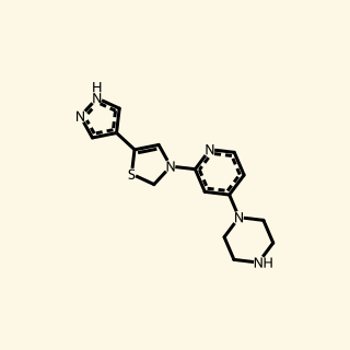 C1=C(c2cn[nH]c2)SCN1c1cc(N2CCNCC2)ccn1